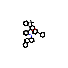 CC1(C)c2ccccc2-c2c(-c3ccccc3N(c3cccc(-c4ccccc4)c3)c3cccc4c3ccc3ccccc34)cccc21